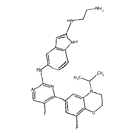 CC(C)N1CCOc2c(F)cc(-c3nc(Nc4ccc5[nH]c(NCCN)cc5c4)ncc3F)cc21